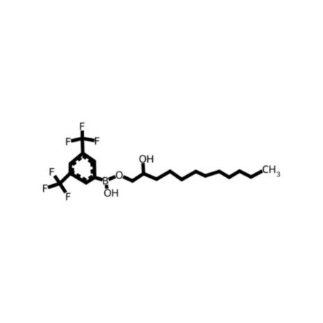 CCCCCCCCCCC(O)COB(O)c1cc(C(F)(F)F)cc(C(F)(F)F)c1